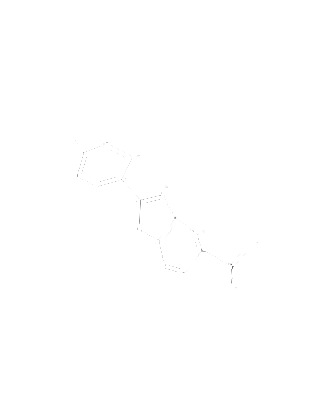 O=C(O)c1ccc2[nH]c(-c3ccc(O)cc3)nc2n1